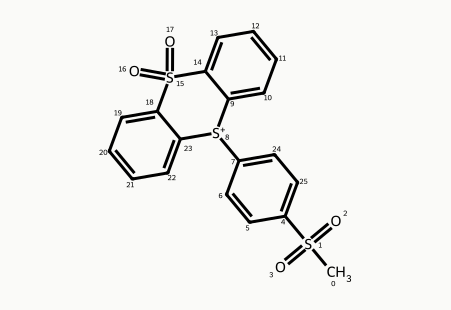 CS(=O)(=O)c1ccc([S+]2c3ccccc3S(=O)(=O)c3ccccc32)cc1